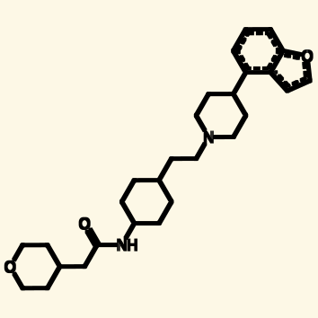 O=C(CC1CCOCC1)NC1CCC(CCN2CCC(c3cccc4occc34)CC2)CC1